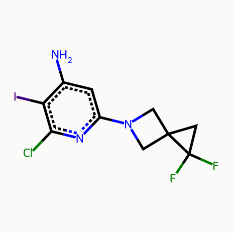 Nc1cc(N2CC3(C2)CC3(F)F)nc(Cl)c1I